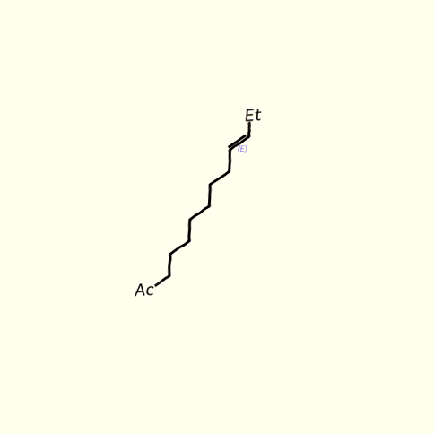 CC/C=C/CCCCCCCC(C)=O